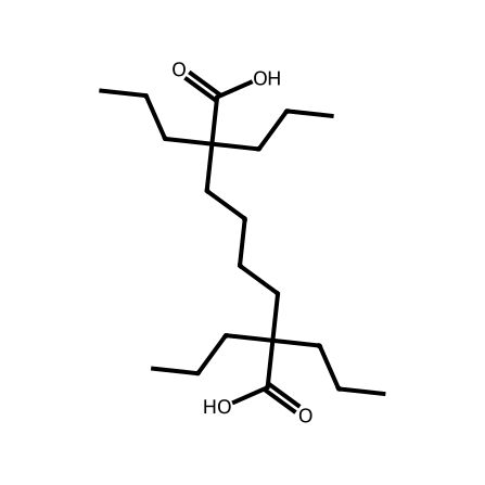 CCCC(CCC)(CCCCC(CCC)(CCC)C(=O)O)C(=O)O